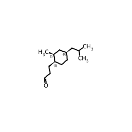 CC(C)C[C@H]1CC[C@@H](CCC=O)[C@@H](C)C1